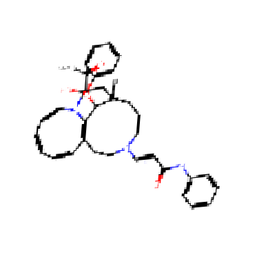 CCC12CCCN(/C=C/C(=O)Nc3ccccc3)CCc3ccccccn(c3C1Oc1ccccc1)C(O)(C(=O)OC)C2